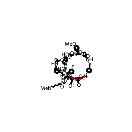 CNCCCCCC(=O)NC[C@H]1NC(=O)[C@H](C)NC(=O)CCC(=O)N2CCCCCCn3cc(c4cc(F)ccc43)C[C@@]3(C=O)CN4CC[C@H](OCC(=O)NCc5cccc(c5)C[C@@H](CN3)NC1=O)[C@@H]4C(=O)NC([C@@H](C)O)C(=O)N[C@@H](Cc1ccc(OC)cc1)C(=O)N1CCC[C@@]1(C)C(=O)NCCc1ccc(cc1)C2